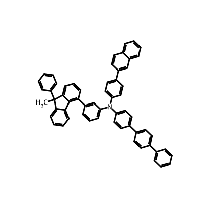 CC1(c2ccccc2)c2ccccc2-c2c(-c3cccc(N(c4ccc(-c5ccc(-c6ccccc6)cc5)cc4)c4ccc(-c5ccc6ccccc6c5)cc4)c3)cccc21